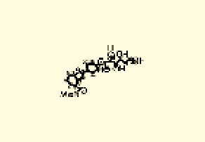 CNC(=O)c1cccc2sc(-c3ccc(OC(O)C(O)C(O)C(O)CCO)cc3)cc12